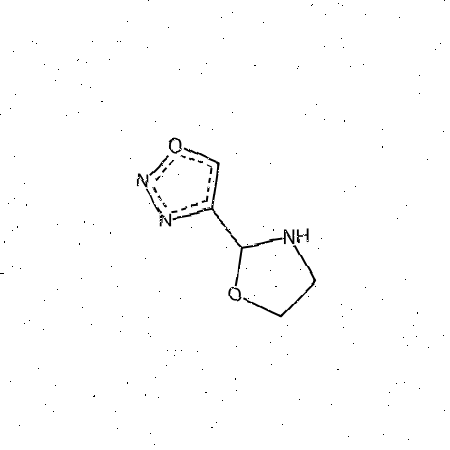 c1onnc1C1NCCO1